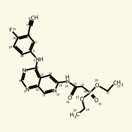 C#Cc1cc(Nc2ncnc3cnc(NC(=O)CP(=O)(OCC)OCC)cc23)ccc1F